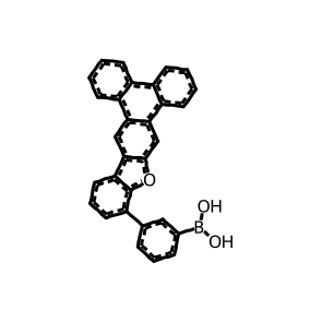 OB(O)c1cccc(-c2cccc3c2oc2cc4c5ccccc5c5ccccc5c4cc23)c1